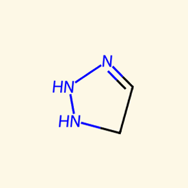 C1=NNNC1